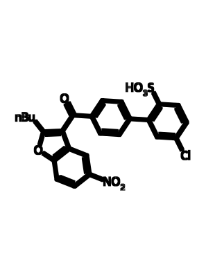 CCCCc1oc2ccc([N+](=O)[O-])cc2c1C(=O)c1ccc(-c2cc(Cl)ccc2S(=O)(=O)O)cc1